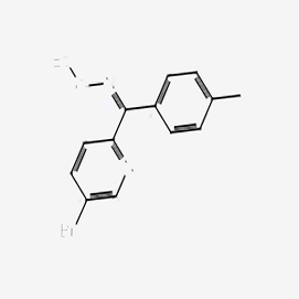 CCO/N=C(/c1ccc(C)cc1)c1ccc(Br)cn1